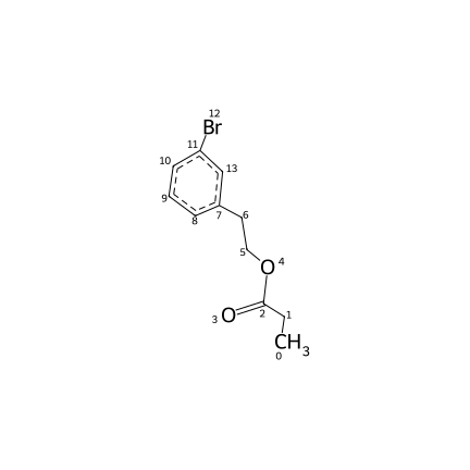 CCC(=O)OCCc1cccc(Br)c1